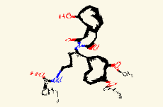 COc1ccc([C@@H](CCCNB(C)O)N2C(=O)c3cccc(O)c3C2=O)cc1OC